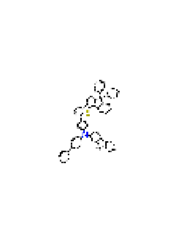 CC1(C)C2=C(CCC=C2)c2ccc(N(c3ccc(-c4cccc5c4sc4c6c(ccc45)C(C4=CC=CCC4)(C4=CC=CCC4)C4=C6C=CCC4)cc3)C3C=CC(C4C=CCCC4)CC3)cc21